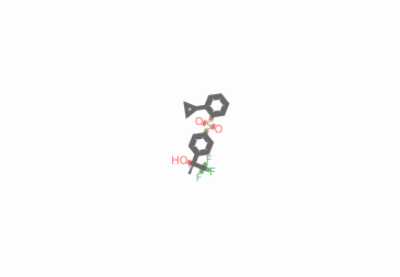 C[C@@](O)(c1ccc(S(=O)(=O)c2ccccc2C2CC2)cc1)C(F)(F)F